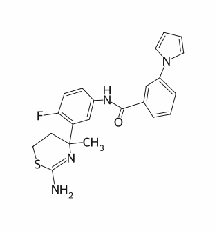 CC1(c2cc(NC(=O)c3cccc(-n4cccc4)c3)ccc2F)CCSC(N)=N1